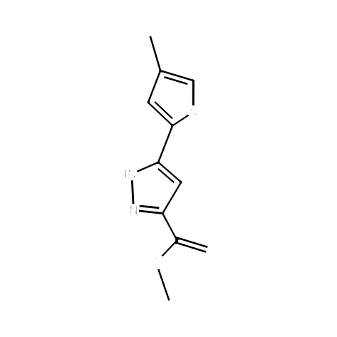 COC(=O)c1cc(-c2cc(C)cs2)[nH]n1